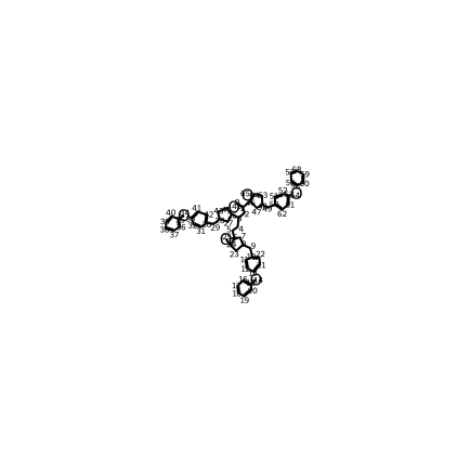 CC(CC(CCC12CC(Cc3ccc(Oc4ccccc4)cc3)CC1O2)C12CC(Cc3ccc(Oc4ccccc4)cc3)CC1O2)C12CC(Cc3ccc(Oc4ccccc4)cc3)CC1O2